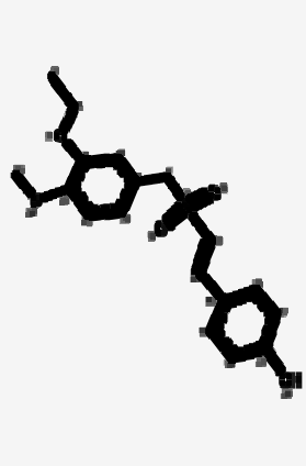 CCOc1cc(CS(=O)(=O)C=Cc2ccc(O)cc2)ccc1OC